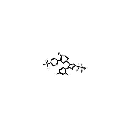 CS(=O)(=O)c1ccc(-c2cc(C3CC(C(F)(F)C(F)(F)F)=NN3c3ccc(F)cc3F)ccc2F)cc1